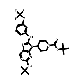 CC(C)(C)Nc1ncc2nc(Nc3cccc(OC(F)(F)F)c3)n(C3CCN(C(=O)OC(C)(C)C)CC3)c2n1